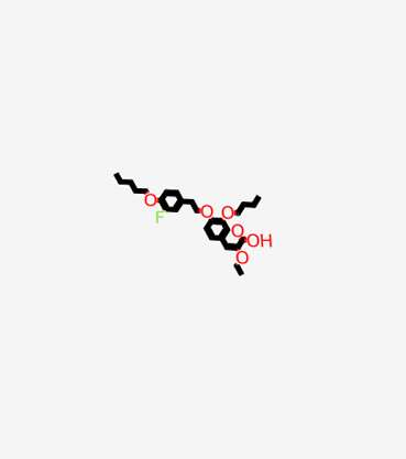 CCCCCOc1ccc(CCOc2ccc(/C=C(/OCC)C(=O)O)cc2OCCCC)cc1F